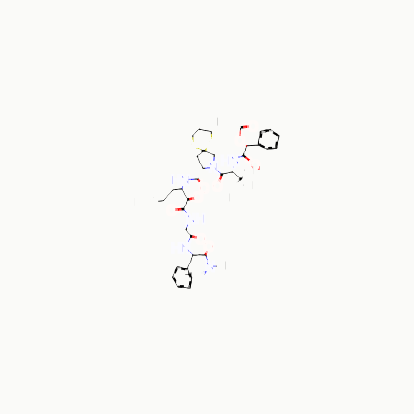 CCCC(NC(=O)[C@@H]1CC2(CN1C(=O)[C@@H](NC(=O)[C@@H](OC(C)=O)c1ccccc1)C(C)(C)C)SCCCS2)C(=O)C(=O)NCC(=O)NC(C(=O)N(C)C)c1ccccc1